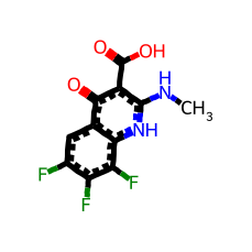 CNc1[nH]c2c(F)c(F)c(F)cc2c(=O)c1C(=O)O